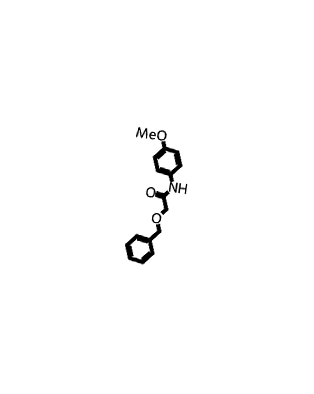 COc1ccc(NC(=O)COCc2ccccc2)cc1